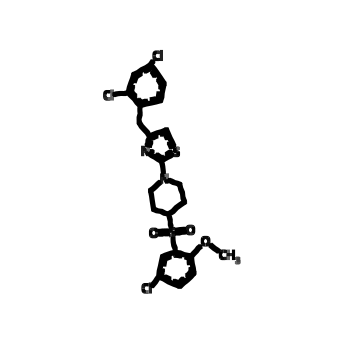 COc1ccc(Cl)cc1S(=O)(=O)C1CCN(c2nc(Cc3ccc(Cl)cc3Cl)cs2)CC1